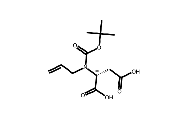 C=CCN(C(=O)OC(C)(C)C)[C@H](CC(=O)O)C(=O)O